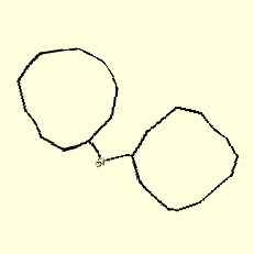 C1CCCCC([Si]C2CCCCCCCCC2)CCCC1